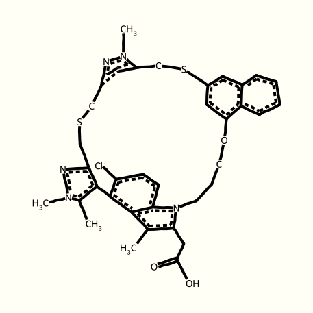 Cc1c(CC(=O)O)n2c3ccc(Cl)c(c13)-c1c(nn(C)c1C)CSCc1cc(n(C)n1)CSc1cc(c3ccccc3c1)OCCC2